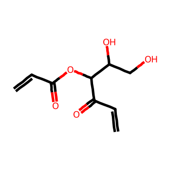 C=CC(=O)OC(C(=O)C=C)C(O)CO